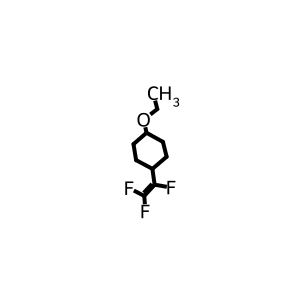 CCOC1CCC(C(F)=C(F)F)CC1